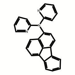 c1ccc(N(c2ccccn2)c2ccc3c4c(cccc24)-c2ccccc2-3)nc1